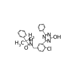 CC(C)(C(=O)NCc1ccc(Cl)c(-c2nc(O)nc(-c3ccccc3)n2)c1)c1ccccc1